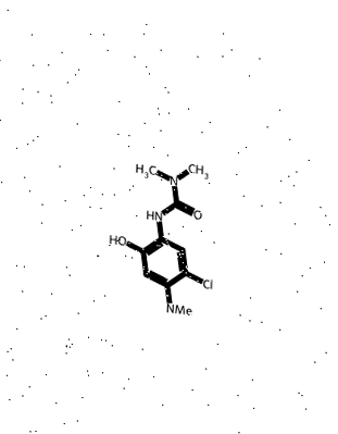 CNc1cc(O)c(NC(=O)N(C)C)cc1Cl